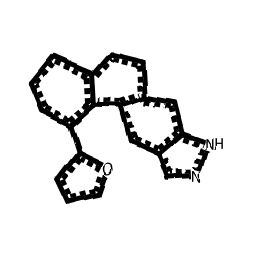 c1coc(-c2cccc3ccc4cc5[nH]ncc5cc4c23)c1